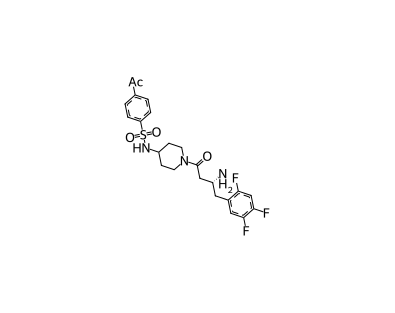 CC(=O)c1ccc(S(=O)(=O)NC2CCN(C(=O)C[C@H](N)Cc3cc(F)c(F)cc3F)CC2)cc1